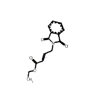 CCOC(=O)/C=C/CN1C(=O)c2ccccc2C1=O